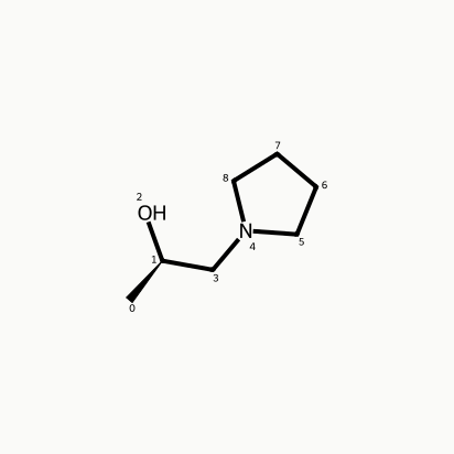 C[C@@H](O)CN1CCCC1